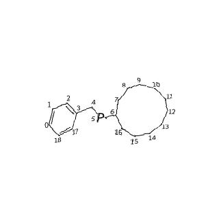 c1ccc(C[P]C2CCCCCCCCCC2)cc1